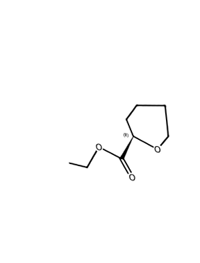 CCOC(=O)[C@H]1CCCCO1